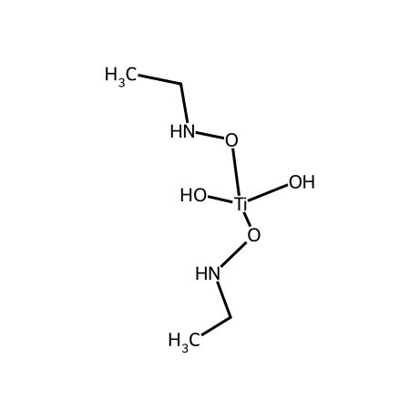 CCN[O][Ti]([OH])([OH])[O]NCC